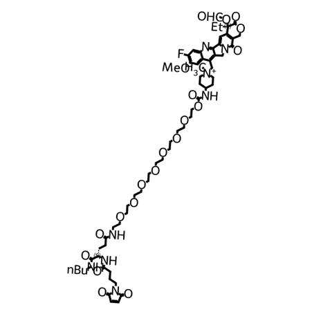 CCCCNC(=O)[C@H](CCC(=O)NCCOCCOCCOCCOCCOCCOCCOCCOC(=O)NC1CC[N+](C)(Cc2c3c(nc4cc(F)c(OC)cc24)-c2cc4c(c(=O)n2C3)COC(=O)[C@@]4(CC)OC=O)CC1)NC(=O)CCCN1C(=O)C=CC1=O